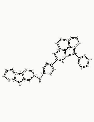 c1ccc(-n2c3cccc4ccc5cc(-c6ccc(Nc7ccc8c(c7)sc7ccccc78)cc6)cc2c5c43)cc1